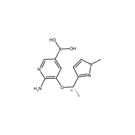 C[C@H](Oc1cc(B(O)O)cnc1N)c1ccn(C)n1